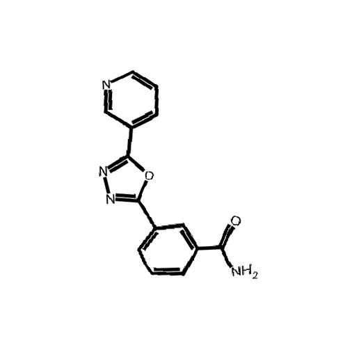 NC(=O)c1cccc(-c2nnc(-c3cccnc3)o2)c1